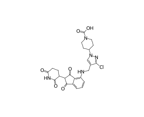 O=C1CCC(C2C(=O)c3cccc(NCc4cn(C5CCN(C(=O)O)CC5)nc4Cl)c3C2=O)C(=O)N1